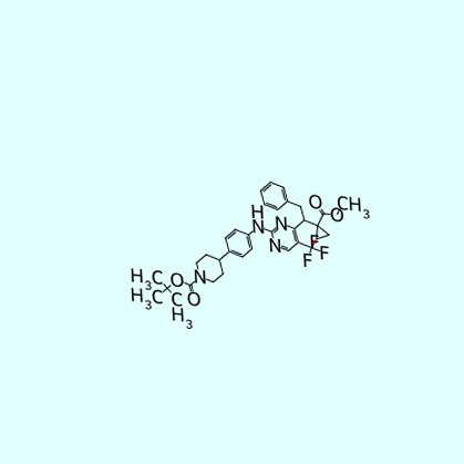 COC(=O)C1(C(Cc2ccccc2)c2nc(Nc3ccc(C4CCN(C(=O)OC(C)(C)C)CC4)cc3)ncc2C(F)(F)F)CC1